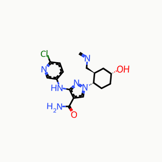 C=NC[C@H]1C[C@H](O)CC[C@@H]1n1cc(C(N)=O)c(Nc2ccc(Cl)nc2)n1